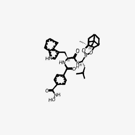 CC(C)C[C@H](NC(=O)[C@H](Cc1c[nH]c2ccccc12)NC(=O)c1ccc(C(=O)NO)cc1)B1OC2C3CC(C[C@]2(C)O1)C3(C)C